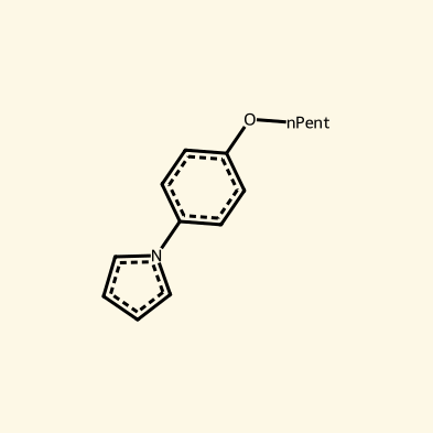 CCCCCOc1ccc(-n2cccc2)cc1